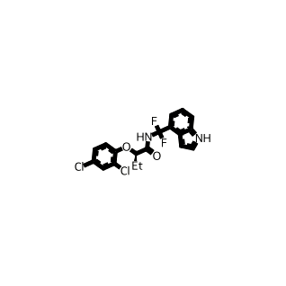 CC[C@@H](Oc1ccc(Cl)cc1Cl)C(=O)NC(F)(F)c1cccc2[nH]ccc12